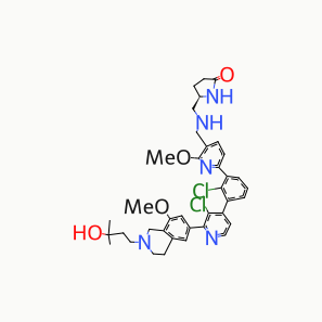 COc1cc(-c2nccc(-c3cccc(-c4ccc(CNC[C@H]5CCC(=O)N5)c(OC)n4)c3Cl)c2Cl)cc2c1CN(CCC(C)(C)O)CC2